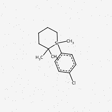 CC1(C)CCCC[Si]1(C)c1ccc(Cl)cc1